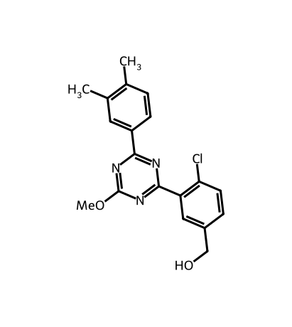 COc1nc(-c2ccc(C)c(C)c2)nc(-c2cc(CO)ccc2Cl)n1